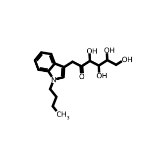 CCCCn1cc(CC(=O)C(O)C(O)C(O)CO)c2ccccc21